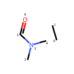 CC.CN(C)C=O